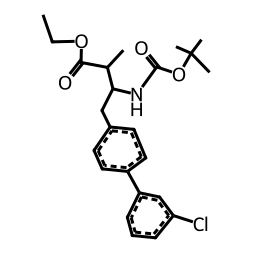 CCOC(=O)C(C)C(Cc1ccc(-c2cccc(Cl)c2)cc1)NC(=O)OC(C)(C)C